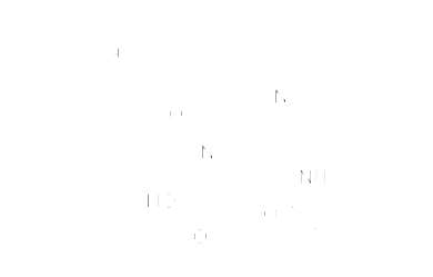 CC(C)(C)[S+]([O-])NC(c1cc(C(=O)O)n(COCC[Si](C)(C)C)c1)c1ccccn1